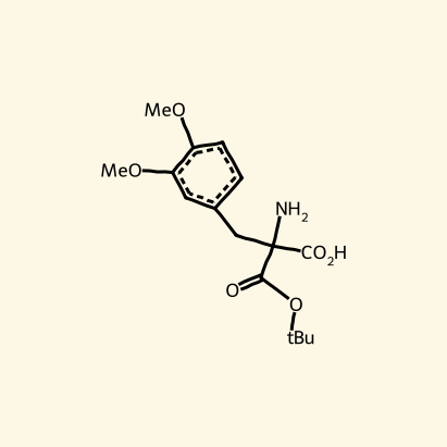 COc1ccc(CC(N)(C(=O)O)C(=O)OC(C)(C)C)cc1OC